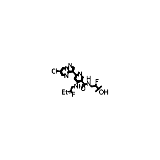 CC[C@H](F)CNc1cc(-c2cnn3cc(Cl)cnc23)ncc1C(=O)NCC(F)C(C)(C)O